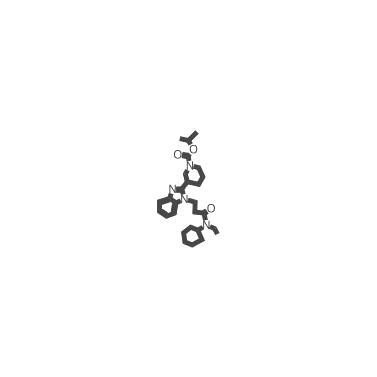 CCN(C(=O)CCn1c(C2CCCN(C(=O)OC(C)C)C2)nc2ccccc21)C1CCCCC1